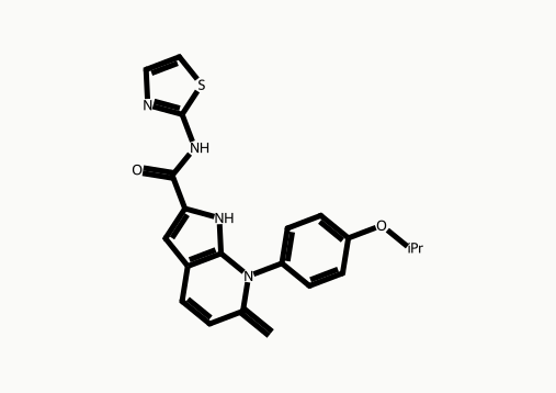 C=C1C=Cc2cc(C(=O)Nc3nccs3)[nH]c2N1c1ccc(OC(C)C)cc1